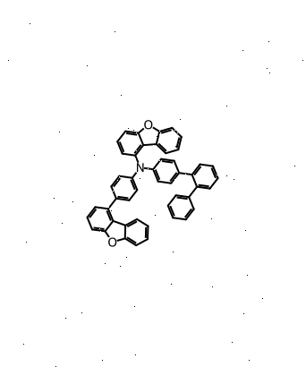 c1ccc(-c2ccccc2-c2ccc(N(c3ccc(-c4cccc5oc6ccccc6c45)cc3)c3cccc4oc5ccccc5c34)cc2)cc1